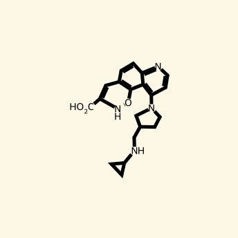 O=C(O)C1=Cc2ccc3nccc(N4CCC(CNC5CC5)C4)c3c2ON1